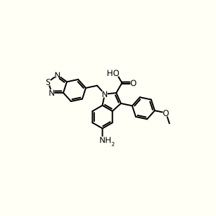 COc1ccc(-c2c(C(=O)O)n(Cc3ccc4nsnc4c3)c3ccc(N)cc23)cc1